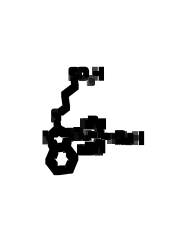 CCCC[PH](CCCC)(CCCC)CCCC.O=S(=O)(O)CCCSc1nc2ccccc2s1.[NaH]